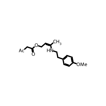 COc1ccc(CCN/C(C)=C\COC(=O)CC(C)=O)cc1